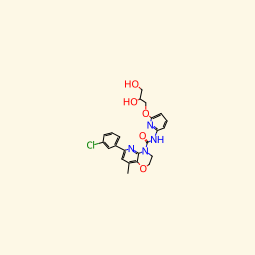 Cc1cc(-c2cccc(Cl)c2)nc2c1OCCN2C(=O)Nc1cccc(OCC(O)CO)n1